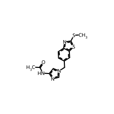 CSc1nc2ccc(Cn3cnc(NC(C)=O)c3)cc2s1